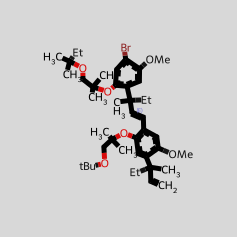 C=CC(C)(CC)c1cc(OC(C)(C)COC(C)(C)C)c(/C=C/C(C)(CC)c2cc(OC)c(Br)cc2OC(C)(C)COC(C)(C)CC)cc1OC